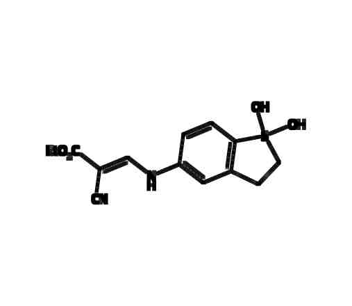 CCOC(=O)C(C#N)=CNc1ccc2c(c1)CCS2(O)O